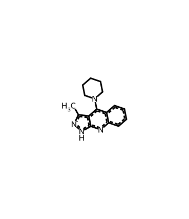 Cc1n[nH]c2nc3ccccc3c(N3CCCCC3)c12